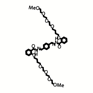 COCCOCCOCCOCCCCOc1ccccc1C(=O)N/N=C/c1ccc(/C=N/NC(=O)c2ccccc2OCCCCOCCOCCOCCOC)cc1